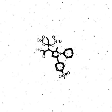 CCC(O[N+](=O)[O-])(O[N+](=O)[O-])C(C(=O)O)c1cc(-c2ccc(S(C)(=O)=O)cc2)n(-c2ccccc2)c1C